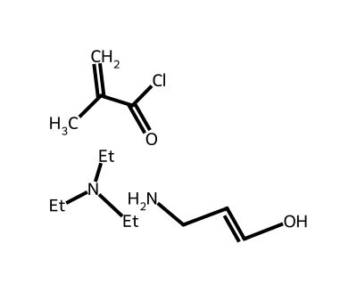 C=C(C)C(=O)Cl.CCN(CC)CC.NCC=CO